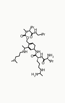 CC(C)CNC(=O)[C@H](C(C)C)N(C)C(=O)OCC1=CCC(NC(=O)[C@H](CCCNC(C)N)NC(=O)[C@@H](N)C(C)C)C=C1C(C)NCCCN(C)C